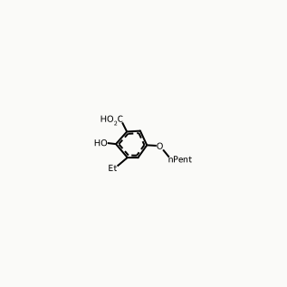 CCCCCOc1cc(CC)c(O)c(C(=O)O)c1